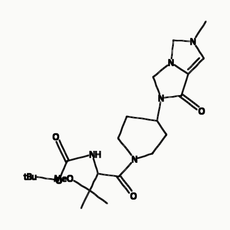 COC(C)(C)C(NC(=O)OC(C)(C)C)C(=O)N1CCC(N2CN3CN(C)C=C3C2=O)CC1